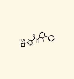 Cc1c(NC(=O)c2nnc(C3(N)CCC3)s2)cccc1-c1ccccc1